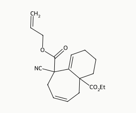 C=CCOC(=O)C1(C#N)CC=CCC2(C(=O)OCC)CCCC=C12